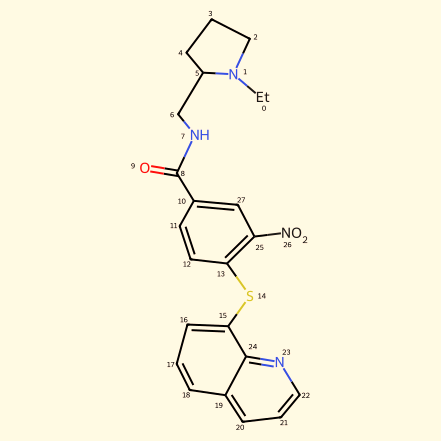 CCN1CCCC1CNC(=O)c1ccc(Sc2cccc3cccnc23)c([N+](=O)[O-])c1